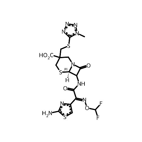 Cn1nnnc1SCC1(C(=O)O)CS[C@@H]2C(NC(=O)C(=NOC(F)F)c3csc(N)n3)C(=O)N2C1